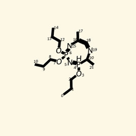 CCCO/[PH]1=N/P(OCCC)(OCCC)=NC(C)=C=NC1C